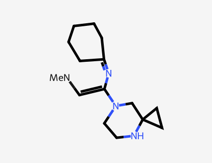 CN/C=C(\N=C1CCCCC1)N1CCNC2(CC2)C1